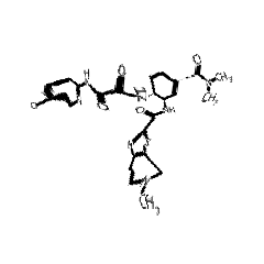 CN1CCc2nc(C(=O)N[C@@H]3C[C@@H](C(=O)N(C)C)CC[C@H]3NC(=O)C(=O)Nc3ccc(Cl)cn3)sc2C1